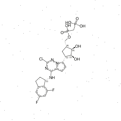 O=P(O)(O)CP(=O)(O)OC[C@H]1C[C@@H](c2ccc3c(N[C@H]4CCc5cc(F)cc(F)c54)nc(Cl)nn23)[C@H](O)[C@@H]1O